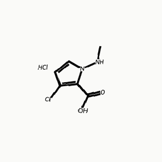 CNn1ccc(Cl)c1C(=O)O.Cl